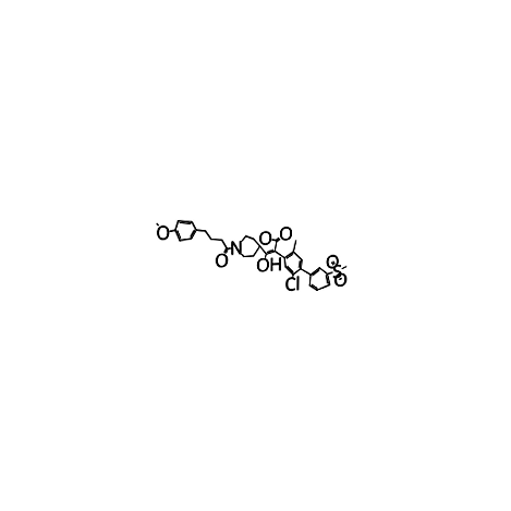 COc1ccc(CCCC(=O)N2CCC3(CC2)OC(=O)C(c2cc(Cl)c(-c4cccc(S(C)(=O)=O)c4)cc2C)=C3O)cc1